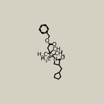 CC(C)(CC(=O)OCc1ccccc1)[Si](C)(C)N1CC(CC2CCCC2)C1=O